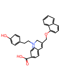 O=C(O)c1ccc(C=C(CNCCc2ccc(O)cc2)COc2cccc3ccccc23)cc1